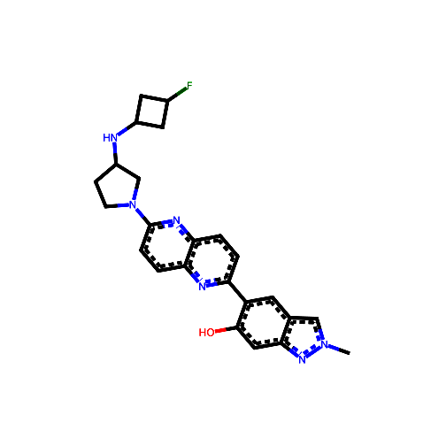 Cn1cc2cc(-c3ccc4nc(N5CCC(NC6CC(F)C6)C5)ccc4n3)c(O)cc2n1